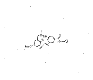 C#CC(=O)[C@@]1(c2ccc(C(=O)NC3CC3)cc2)N[C@@H](C)Cc2cc(OC)ccc21